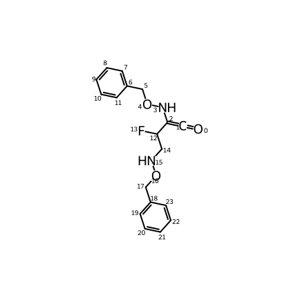 O=C=C(NOCc1ccccc1)C(F)CNOCc1ccccc1